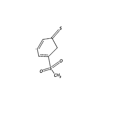 CS(=O)(=O)C1=C[C]=CC(=S)C1